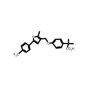 Cc1oc(-c2ccc(C(F)(F)F)cc2)cc1COc1ccc(C(C)(C)C(=O)O)cc1